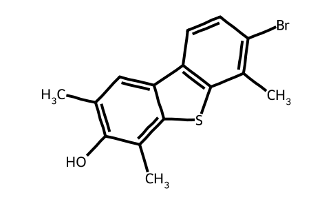 Cc1cc2c(sc3c(C)c(Br)ccc32)c(C)c1O